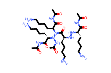 CC(=O)NC(=O)[C@H](CCCCN)NN[C@@H](CCCCN)C(=O)N([C@@H](CCCCN)C(=O)NC(C)=O)N(NC(C)=O)[C@@H](CCCCN)C(=O)NC(C)=O